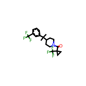 CC(C)(c1cccc(C(F)(F)F)c1)C1CCN(C(=O)C2(C(F)(F)F)CC2)CC1